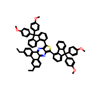 CCc1ccc2c(c1)c1cc(CC)ccc1c1nc3c(-c4cccc5c4-c4ccccc4C5(c4ccc(OC)cc4)c4ccc(OC)cc4)sc(-c4cccc5c4-c4ccccc4C5(c4ccc(OC)cc4)c4ccc(OC)cc4)c3nc21